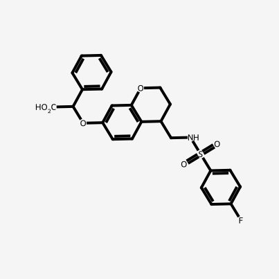 O=C(O)C(Oc1ccc2c(c1)OCCC2CNS(=O)(=O)c1ccc(F)cc1)c1ccccc1